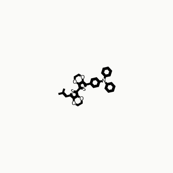 CC(C)=Cc1sc(-c2sc(-c3ccc(N(c4ccccc4)c4ccccc4)cc3)c3c2OCCO3)c2c1OCCO2